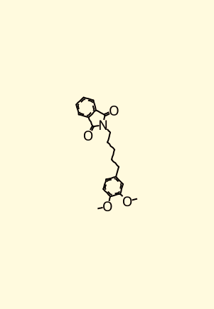 COc1ccc(CCCCCN2C(=O)c3ccccc3C2=O)cc1OC